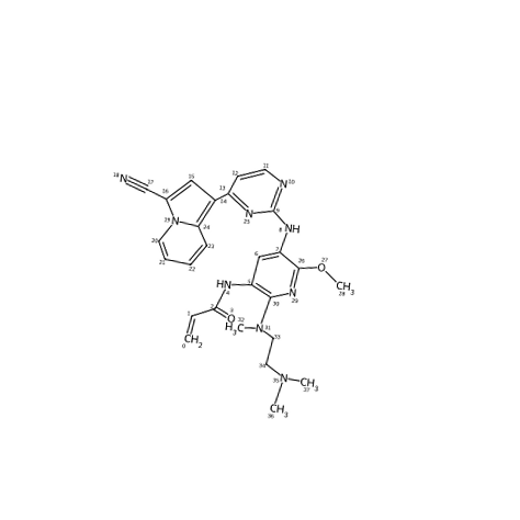 C=CC(=O)Nc1cc(Nc2nccc(-c3cc(C#N)n4ccccc34)n2)c(OC)nc1N(C)CCN(C)C